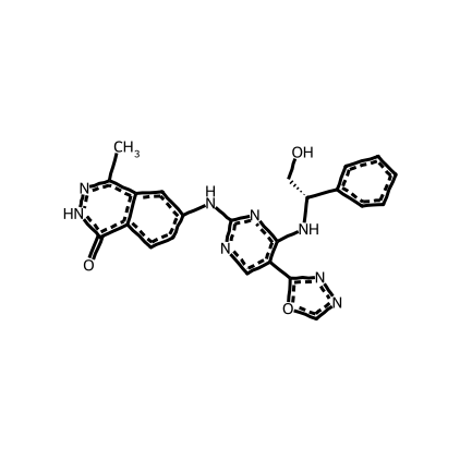 Cc1n[nH]c(=O)c2ccc(Nc3ncc(-c4nnco4)c(N[C@H](CO)c4ccccc4)n3)cc12